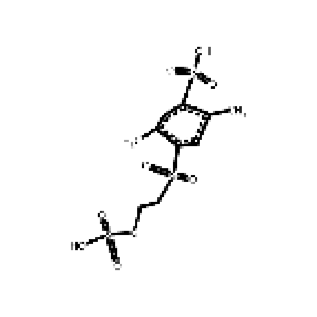 Cc1cc(S(=O)(=O)CCOS(=O)(=O)O)c(C)cc1S(=O)(=O)O